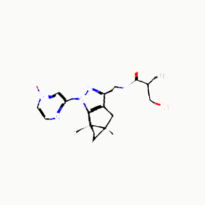 CC(C)(C)C(CO)C(=O)NCc1nn(-c2c[n+]([O-])ccn2)c2c1C[C@@H]1C[C@H]21